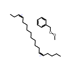 CC/C=C\CCCCCCCC/C=C\CCCC.COOCc1ccccc1